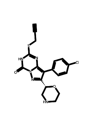 C#CCSc1nc2c(-c3ccc(Cl)cc3)c([C@H]3CNCCO3)nn2c(=O)[nH]1